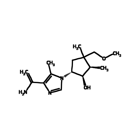 C=C(N)c1ncn([C@@H]2CC(C)(COC)[C@@H](C)[C@H]2O)c1C